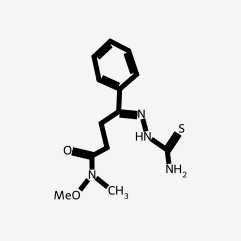 CON(C)C(=O)CCC(=NNC(N)=S)c1ccccc1